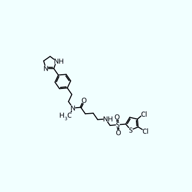 CN(CCc1ccc(C2=NCCN2)cc1)C(=O)CCCNCS(=O)(=O)c1cc(Cl)c(Cl)s1